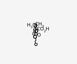 CN(C)C=Nc1nc2oc3ccc(CCC4CCCC4)cc3c(=O)c2cc1C(=O)O